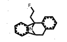 FCCC12NC(Cc3ccccc31)c1ccccc12